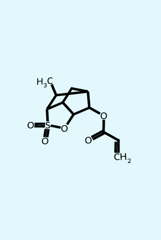 C=CC(=O)OC1C2CC3C1OS(=O)(=O)C3C2C